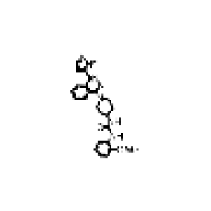 COc1ccccc1NC(=O)NC1CCN(c2nnc(-c3ccnn3C)c3ccccc23)CC1